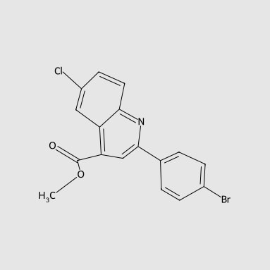 COC(=O)c1cc(-c2ccc(Br)cc2)nc2ccc(Cl)cc12